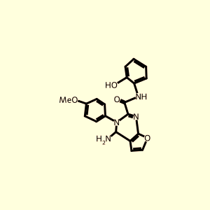 COc1ccc(N2C(C(=O)Nc3ccccc3O)=Nc3occc3C2N)cc1